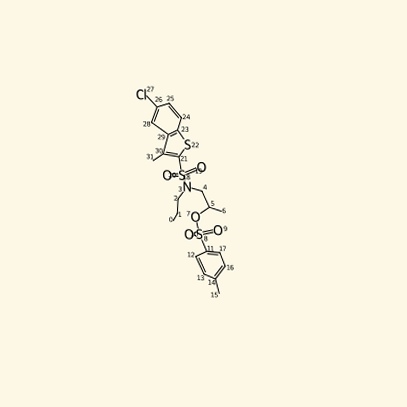 CCCN(CC(C)OS(=O)(=O)c1ccc(C)cc1)S(=O)(=O)c1sc2ccc(Cl)cc2c1C